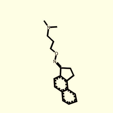 CN(C)CCCON=C1CCc2c1ccc1ccccc21